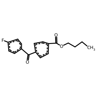 CCCCOC(=O)c1ccc(C(=O)c2ccc(F)cc2)cc1